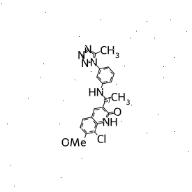 COc1ccc2cc([C@H](C)Nc3cccc(-n4nnnc4C)c3)c(=O)[nH]c2c1Cl